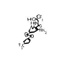 Nc1cc(S(=O)(=O)c2ccc(C(F)(F)F)cc2)cnc1C(=O)NC[C@H](O)C(F)(F)F